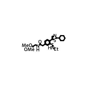 CCNSc1cc(CC(=O)NCC(OC)OC)ccc1-c1cnc(C2CCCCC2)s1